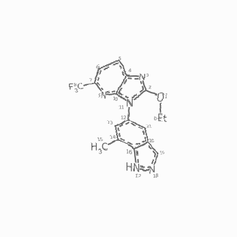 CCOc1nc2ccc(C(F)(F)F)nc2n1-c1cc(C)c2[nH]ncc2c1